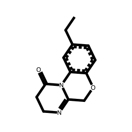 CCc1ccc2c(c1)N1C(=O)CCN=C1CO2